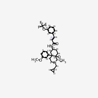 COc1cccc(C23CCN(CC4CC4)CC2(OC)CCC(NC(=O)/C=C/c2cccc(OC(F)(F)F)c2)C3)c1